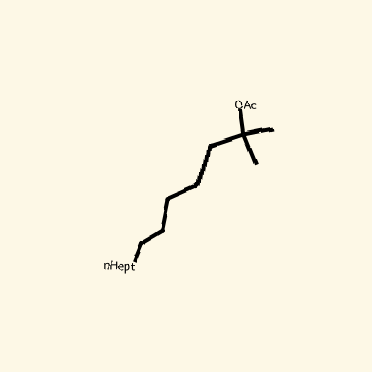 CCCCCCCCCCCCC(C)(C)OC(C)=O